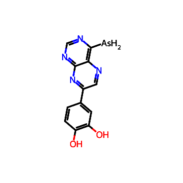 Oc1ccc(-c2cnc3c([AsH2])ncnc3n2)cc1O